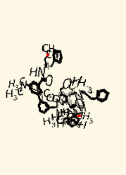 COc1c(CN2O[C@@H](CO)[C@@H]([C@H](C)NCCc3ccccc3)[C@H]2C(=O)N[C@H]2C[C@H]3C[C@@H]([C@@H]2C)C3(C)C)cccc1-c1cc(C(=O)N[C@@H](Cc2ccccc2)CC(C)C)cc(N(C)C)c1